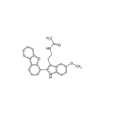 COc1ccc2[nH]c(-c3cccc4c3oc3ccccc34)c(CCNC(C)=O)c2c1